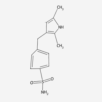 Cc1[c]c(Cc2ccc(S(N)(=O)=O)cc2)c(C)[nH]1